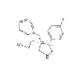 OCC[C@@]1(Cc2ccccc2)CNC[C@H]1c1ccc(F)cc1